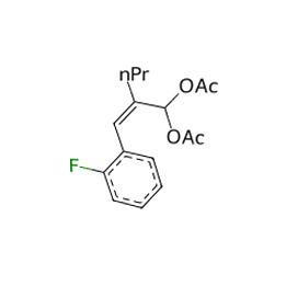 CCCC(=Cc1ccccc1F)C(OC(C)=O)OC(C)=O